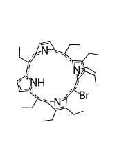 CCC1=C(CC)c2nc1c(CC)c1ccc([nH]1)c(CC)c1nc(c(CC)c3c(CC)c(CC)c(c2Br)n3CC)C=C1